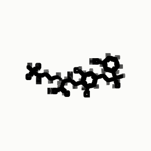 CP(=O)(CCc1cc(Cl)c(CN[C@@H](CCCNS(C)(=O)=O)C(=O)O)c(Cl)c1)c1cccc(O)c1